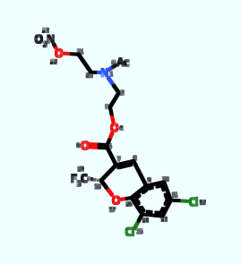 CC(=O)N(CCOC(=O)C1=Cc2cc(Cl)cc(Cl)c2O[C@@H]1C(F)(F)F)CCO[N+](=O)[O-]